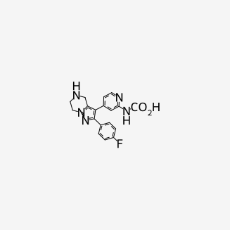 O=C(O)Nc1cc(-c2c(-c3ccc(F)cc3)nn3c2CNCC3)ccn1